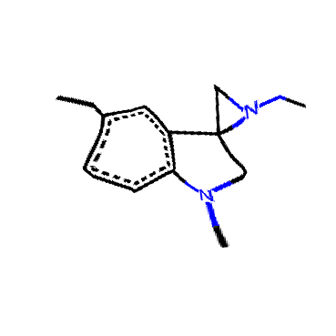 Cc1ccc2c(c1)C1(CN2C)CN1C